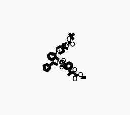 CCOC(=O)c1oc2ccc(S(=O)(=O)N(CCc3ccccc3)Cc3ccccc3N3CCC4(CC3)CN(C(=O)OC(C)(C)C)C4)cc2c1C